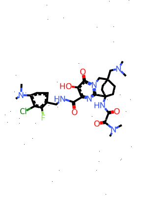 CN(C)CC12CCC(NC(=O)C(=O)N(C)C)(CC1)c1nc(C(=O)NCc3ccc(N(C)C)c(Cl)c3F)c(O)c(=O)n1C2